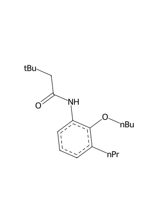 CCCCOc1c(CCC)cccc1NC(=O)CC(C)(C)C